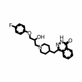 O=c1[nH]nc(CC2CCN(CC(O)COc3ccc(F)cc3)CC2)c2ccccc12